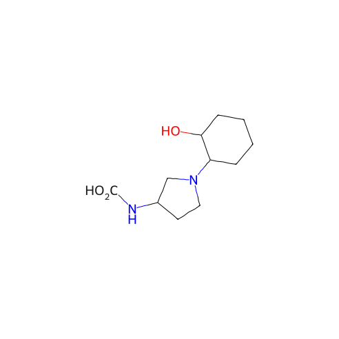 O=C(O)NC1CCN(C2CCCCC2O)C1